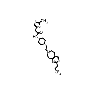 Cc1ncc(CC(=O)N[C@H]2CC[C@H](CCN3CCc4cnc(CCC(F)(F)F)nc4CC3)CC2)s1